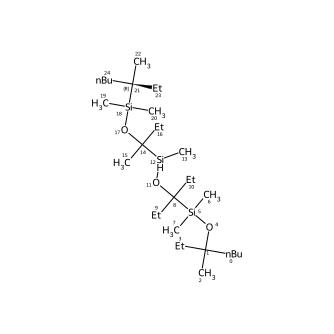 CCCCC(C)(CC)O[Si](C)(C)C(CC)(CC)O[SiH](C)C(C)(CC)O[Si](C)(C)[C@](C)(CC)CCCC